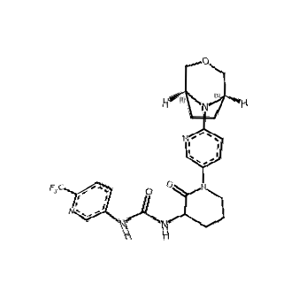 O=C(Nc1ccc(C(F)(F)F)nc1)NC1CCCN(c2ccc(N3[C@@H]4CC[C@H]3COC4)nc2)C1=O